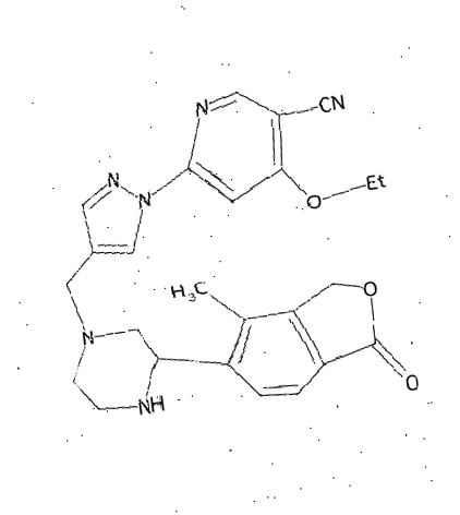 CCOc1cc(-n2cc(CN3CCNC(c4ccc5c(c4C)COC5=O)C3)cn2)ncc1C#N